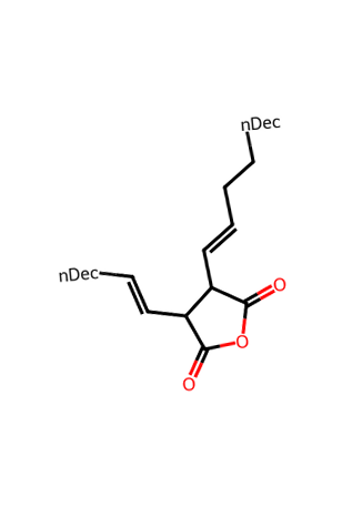 CCCCCCCCCCC=CC1C(=O)OC(=O)C1C=CCCCCCCCCCCCC